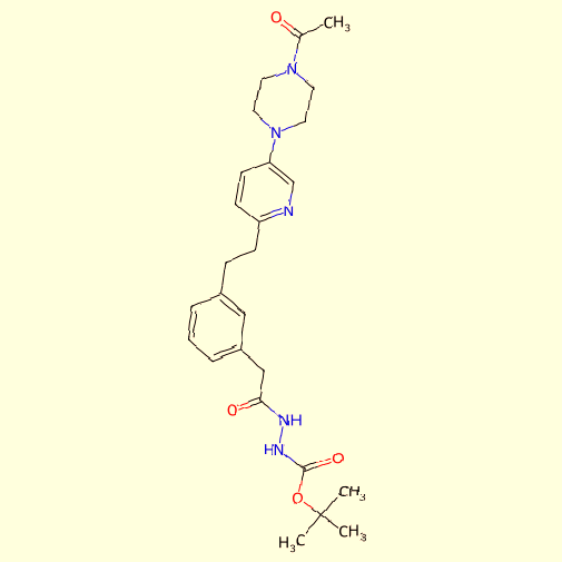 CC(=O)N1CCN(c2ccc(CCc3cccc(CC(=O)NNC(=O)OC(C)(C)C)c3)nc2)CC1